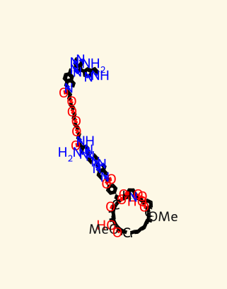 CO[C@H]1CC2CCC[C@@](O)(O2)C(=O)C(=O)N2CCCC[C@H]2C(=O)O[C@H](CC[C@H]2CC[C@H](OC(=O)N3CCc4nc(N5CCN(c6ncc(C(=O)NCCOCCOCCOCCOCCC(=O)N7CCc8cc(Cn9nc(-c%10cnc%11[nH]ccc%11c%10)c%10c(N)ncnc%109)ccc8C7)c(N)n6)CC5)ncc4C3)CC2)CC(=O)[C@H](C)/C=C(\C)[C@@H](O)[C@@H](OC)C(=O)[C@H](C)C[C@H](C)/C=C/C=C/C=C/1C